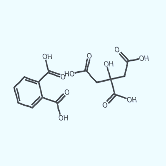 O=C(O)CC(O)(CC(=O)O)C(=O)O.O=C(O)c1ccccc1C(=O)O